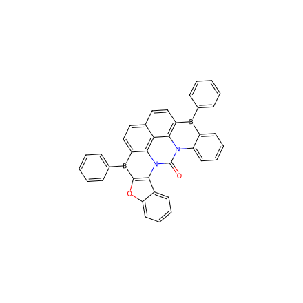 O=C1N2c3ccccc3B(c3ccccc3)c3ccc4ccc5c(c4c32)N1c1c(oc2ccccc12)B5c1ccccc1